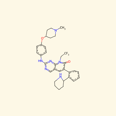 CN1CCC(Oc2ccc(Nc3ncc4cc(-c5ccccc5C5CCCCN5)c(=O)n(CC(F)(F)F)c4n3)cc2)CC1